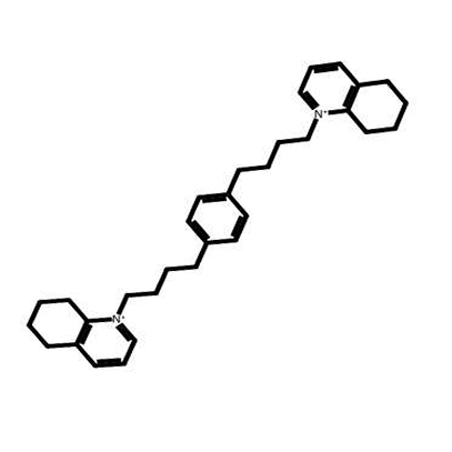 c1cc2c([n+](CCCCc3ccc(CCCC[n+]4cccc5c4CCCC5)cc3)c1)CCCC2